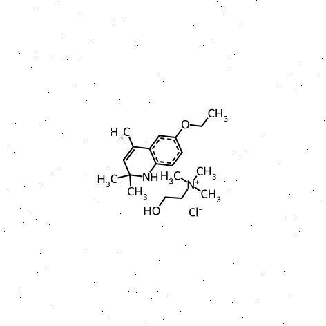 CCOc1ccc2c(c1)C(C)=CC(C)(C)N2.C[N+](C)(C)CCO.[Cl-]